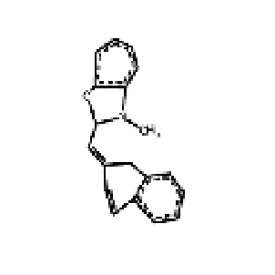 CN1c2ccccc2OC1C=C1C=Cc2ccccc2C1